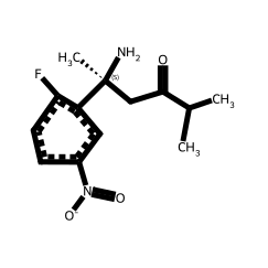 CC(C)C(=O)C[C@](C)(N)c1cc([N+](=O)[O-])ccc1F